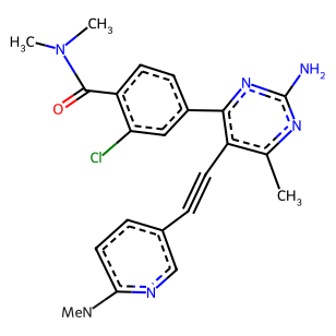 CNc1ccc(C#Cc2c(C)nc(N)nc2-c2ccc(C(=O)N(C)C)c(Cl)c2)cn1